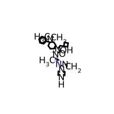 C=N/C(=N\C=C(/C)N1C[C@]2(CC[C@](c3ccccc3)(N(C)C)CC2)N(CC2(O)CCC2)C1=O)N1CCNCC1